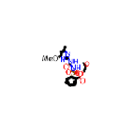 COc1cc(C)nc(NC(=O)NS(=O)(=O)c2ccccc2C(=O)OCC2CO2)n1